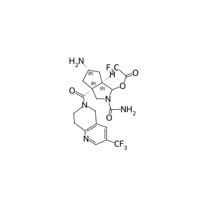 NC(=O)N1C[C@@]2(C(=O)N3CCc4ncc(C(F)(F)F)cc4C3)C[C@H](N)C[C@H]2C1OC(=O)C(F)(F)F